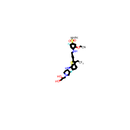 CC(=O)NS(=O)(=O)c1cc(OCC#N)c(NCC#Cc2sc3c(NC4CCN(CC(O)CO)CC4F)cccc3c2CC(F)(F)F)cc1F